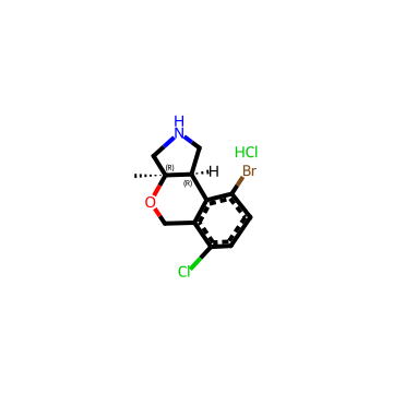 C[C@]12CNC[C@H]1c1c(Br)ccc(Cl)c1CO2.Cl